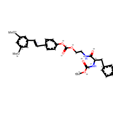 COc1cc(/C=C/c2ccc(OC(=O)OCCNC(=O)C(Cc3ccccc3)NC(=O)OC(C)(C)C)cc2)cc(OC)c1